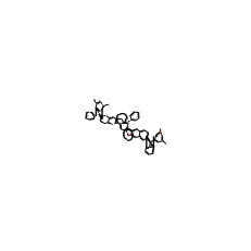 Cc1cc(C)cc(N(c2ccccc2)c2ccc3cc4c(cc3c2)oc2c(-c3ccccc3)c3c(cc24)oc2cc4cc(N(c5ccccc5)c5cc(C)cc(C)c5)ccc4cc23)c1